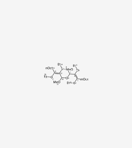 CCCCCCCCC(OCC)=C(OCC)C(OC)OC(OC)C(OCC)=C(CCCCCCCC)OCC